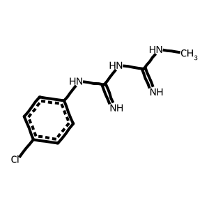 CNC(=N)NC(=N)Nc1ccc(Cl)cc1